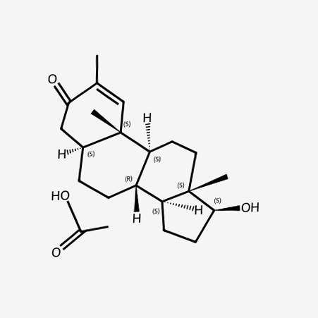 CC(=O)O.CC1=C[C@@]2(C)[C@@H](CC[C@@H]3[C@@H]2CC[C@]2(C)[C@@H](O)CC[C@@H]32)CC1=O